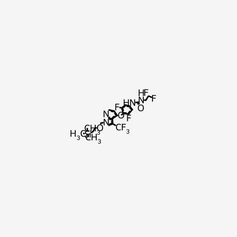 C[Si](C)(C)CCOCn1cc(C(F)(F)F)c2c(Oc3c(F)cc(NC(=O)NCC(F)F)cc3F)ccnc21